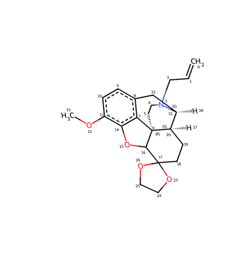 C=CCN1CC[C@@]23c4c5ccc(OC)c4OC2C2(CC[C@@H]3[C@@H]1C5)OCCO2